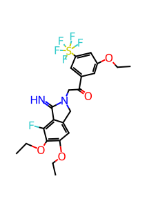 CCOc1cc(C(=O)CN2Cc3cc(OCC)c(OCC)c(F)c3C2=N)cc(S(F)(F)(F)(F)F)c1